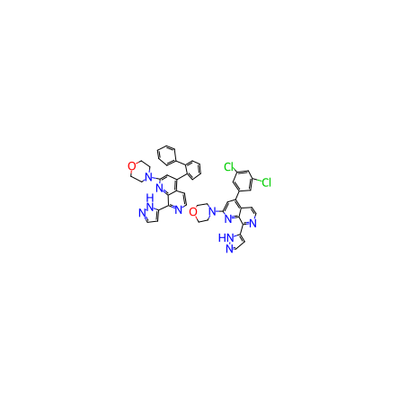 Clc1cc(Cl)cc(-c2cc(N3CCOCC3)nc3c(-c4ccn[nH]4)nccc23)c1.c1ccc(-c2ccccc2-c2cc(N3CCOCC3)nc3c(-c4ccn[nH]4)nccc23)cc1